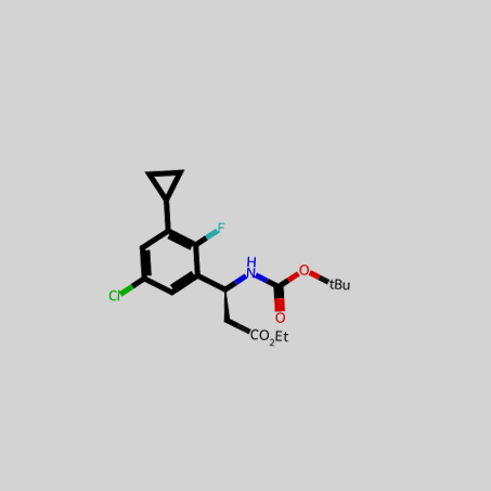 CCOC(=O)C[C@H](NC(=O)OC(C)(C)C)c1cc(Cl)cc(C2CC2)c1F